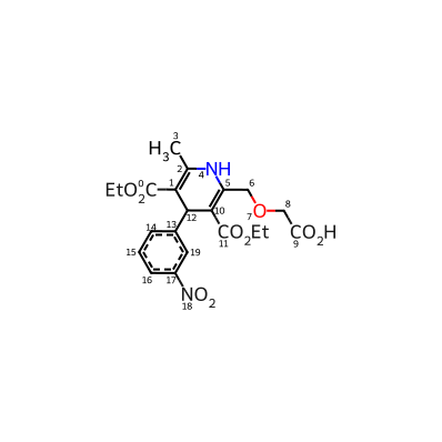 CCOC(=O)C1=C(C)NC(COCC(=O)O)=C(C(=O)OCC)C1c1cccc([N+](=O)[O-])c1